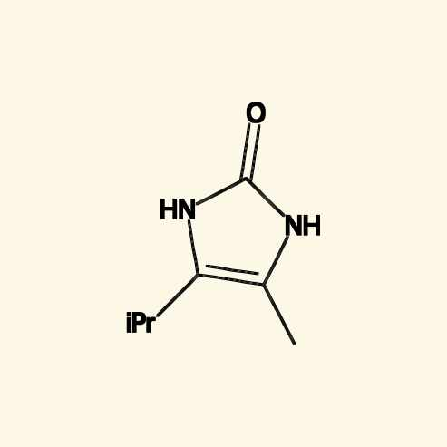 Cc1[nH]c(=O)[nH]c1C(C)C